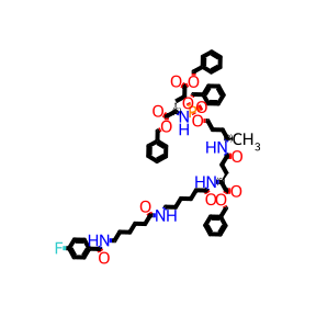 C[C@H](CCCOP(=O)(N[C@@H](CCC(=O)OCc1ccccc1)C(=O)OCc1ccccc1)OCc1ccccc1)NC(=O)CC[C@H](NC(=O)CCCCCNC(=O)CCCCCNC(=O)c1ccc(F)cc1)C(=O)OCc1ccccc1